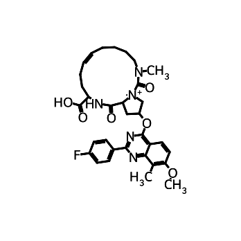 COc1ccc2c(OC3CC4C(=O)NC(C(=O)O)CCC=CCCCCN(C)C(=O)[N+]4C3)nc(-c3ccc(F)cc3)nc2c1C